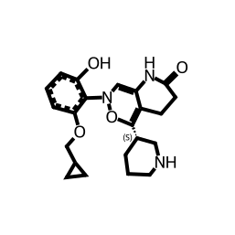 O=C1CCC2=C([C@H]3CCCNC3)ON(c3c(O)cccc3OCC3CC3)C=C2N1